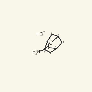 Cl.NC12CC3CC(CC1C3)C2